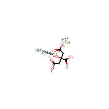 Cl.Cl.Cl.O=C([O-])CC(O)(CC(=O)[O-])C(=O)[O-].[Na+].[Na+].[Na+]